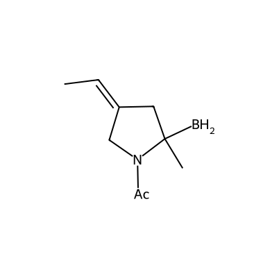 BC1(C)C/C(=C/C)CN1C(C)=O